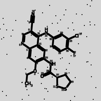 CCOc1cc2ncc(C#N)c(Nc3ccc(F)c(Cl)c3)c2cc1NC(=O)[C@H]1CCSS1